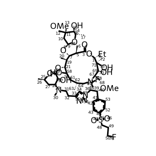 CC[C@H]1OC(=O)[C@H](C)[C@@H](O[C@H]2C[C@@](C)(OC)[C@@H](O)[C@H](C)O2)[C@H](C)[C@@H](O[C@@H]2O[C@H](C)C[C@H](N(C)CCc3cn([C@H](CF)[C@H](OC)c4ccc(S(=O)(=O)CCCF)cc4)nn3)[C@H]2O)[C@](C)(O)C[C@@H](C)CN(C)[C@H](C)[C@@H](O)[C@]1(C)O